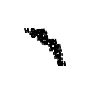 CN(C)C(=O)c1cc2cnc(Nc3ccc(N4CCN(CCO)CC4)c(F)c3)nc2n1C12CC(C1)C2